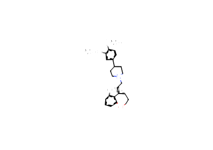 COc1ccc(C2CCN(CCC3CCCOc4cccc(OC)c43)CC2)cc1OC